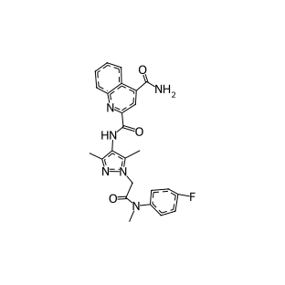 Cc1nn(CC(=O)N(C)c2ccc(F)cc2)c(C)c1NC(=O)c1cc(C(N)=O)c2ccccc2n1